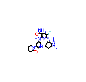 NC(=O)c1cc(F)c(N[C@@H]2CCCCC2N)nc1Nc1cncc(N2CCCCC2=O)c1